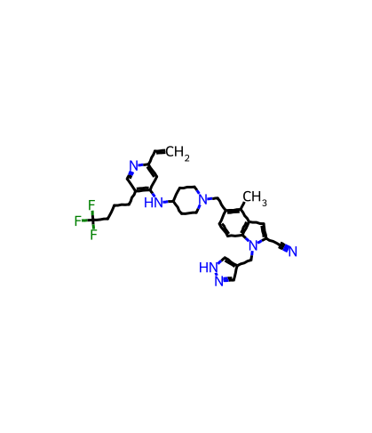 C=Cc1cc(NC2CCN(Cc3ccc4c(cc(C#N)n4Cc4cn[nH]c4)c3C)CC2)c(CCCC(F)(F)F)cn1